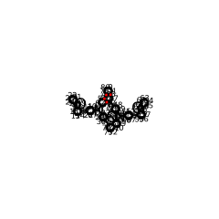 c1ccc(-c2ccc(N(c3ccc(-c4cccc5c4oc4ccccc45)cc3)c3ccc4c(c3)Oc3c(N(c5ccc(-c6ccccc6)cc5)c5ccc(-c6cccc7c6oc6ccccc67)cc5)ccc5cccc-4c35)cc2)cc1